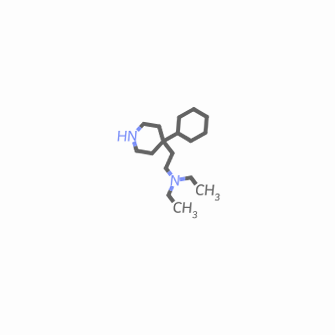 CCN(CC)CCC1(C2CCCCC2)CCNCC1